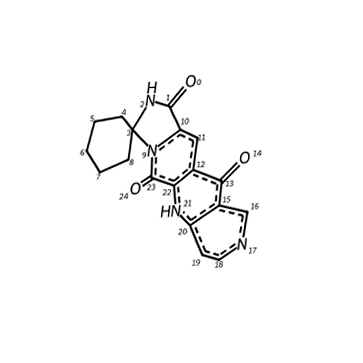 O=C1NC2(CCCCC2)n2c1cc1c(=O)c3cnccc3[nH]c1c2=O